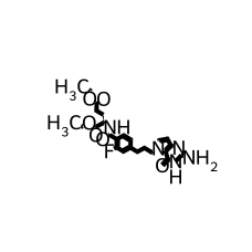 CCOC(=O)CC[C@H](NC(=O)c1ccc(CCCn2ccc3nc(N)[nH]c(=O)c32)cc1F)C(=O)OCC